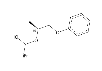 CC(C)C(O)O[C@@H](C)COc1ccccc1